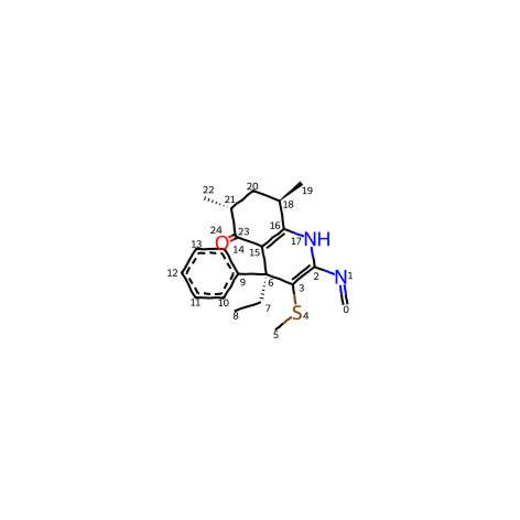 C=NC1=C(SC)[C@@](CC)(c2ccccc2)C2=C(N1)[C@H](C)C[C@@H](C)C2=O